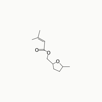 CC(C)=CC(=O)OCC1CCC(C)O1